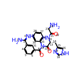 N=C(N)c1cccc(C(=O)N(C(=O)[C@@H](Cc2c[nH]cn2)NC(=O)CN)c2ccccc2)c1